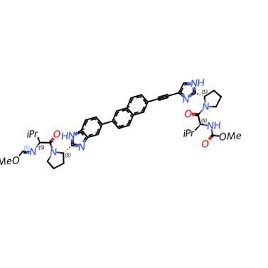 CO/C=N/[C@H](C(=O)N1CCC[C@H]1c1nc2cc(-c3ccc4cc(C#Cc5c[nH]c([C@@H]6CCCN6C(=O)[C@@H](NC(=O)OC)C(C)C)n5)ccc4c3)ccc2[nH]1)C(C)C